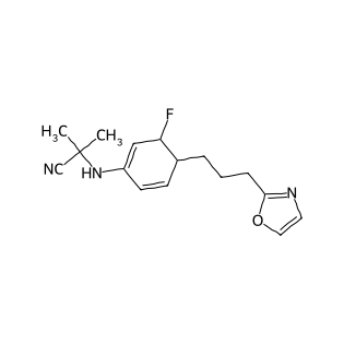 CC(C)(C#N)NC1=CC(F)C(CCCc2ncco2)C=C1